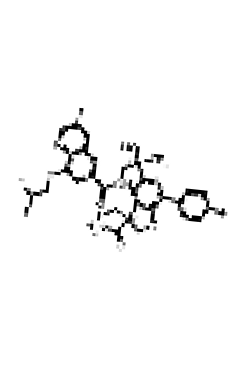 Cc1cnc2c(OCC(F)F)cc(C(=O)NC[C@](O)(c3cc4c(c(-c5ccc(F)cc5)n3)OC[C@]4(CF)C(N)=O)C(F)(F)F)cc2c1